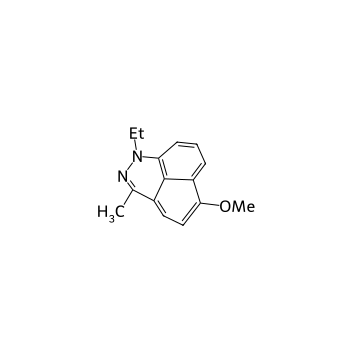 CCN1N=C(C)c2ccc(OC)c3cccc1c23